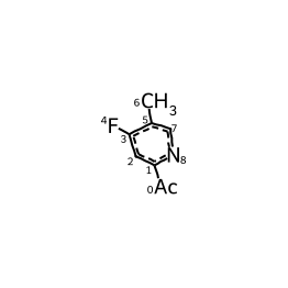 CC(=O)c1cc(F)c(C)cn1